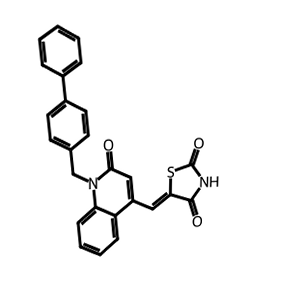 O=C1NC(=O)/C(=C/c2cc(=O)n(Cc3ccc(-c4ccccc4)cc3)c3ccccc23)S1